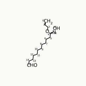 C=CCOC(CCCCCCCCCCC=O)=NO